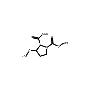 CCCCO[C@@H]1CCN(C(=O)OC(C)(C)C)[C@@H]1C(=O)OC